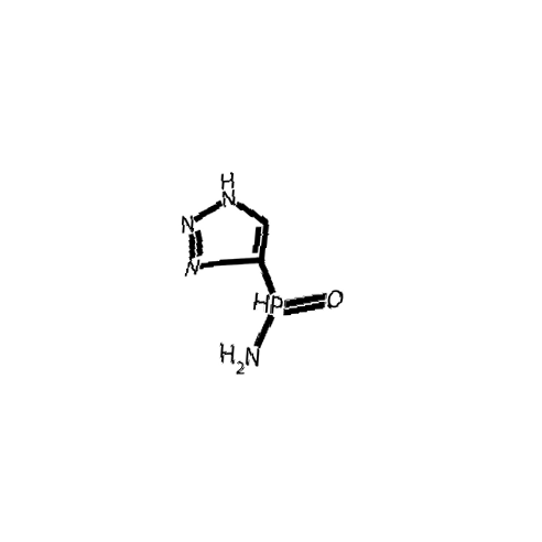 N[PH](=O)c1c[nH]nn1